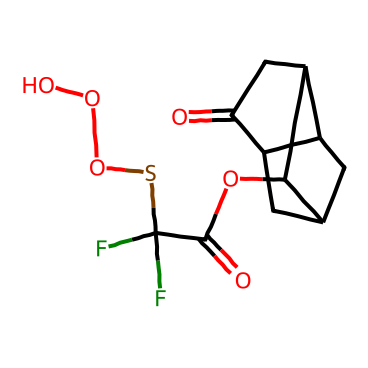 O=C1CC2C3CC(CC13)C2OC(=O)C(F)(F)SOOO